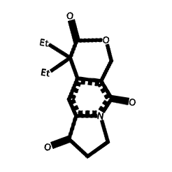 CCC1(CC)C(=O)OCc2c1cc1n(c2=O)CCC1=O